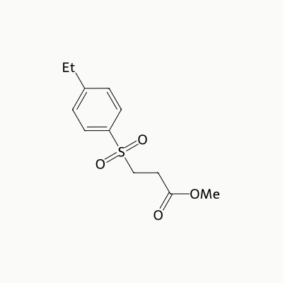 CCc1ccc(S(=O)(=O)CCC(=O)OC)cc1